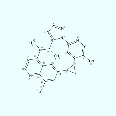 C[C@@H](c1ncnn1-c1ccc(C#N)cn1)N(C)c1ncnc2c(C(F)(F)F)cc(C3CC3)cc12